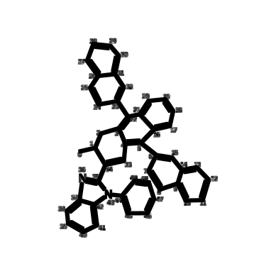 CC1Cc2c(c(-c3ccc4ccccc4c3)c3ccccc3c2-c2ccc3ccccc3c2)C=C1c1nc2ccccc2n1-c1ccccc1